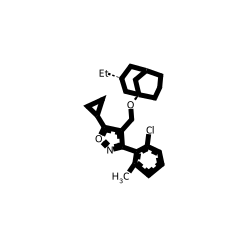 CC[C@@H]1CC2CCC[C@](OCc3c(-c4c(C)cccc4Cl)noc3C3CC3)(C2)C1